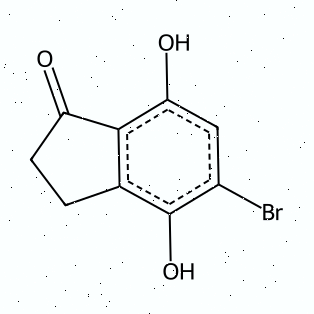 O=C1CCc2c(O)c(Br)cc(O)c21